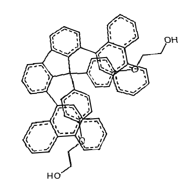 OCCOc1ccc(C2(c3ccc(OCCO)cc3)c3c(cccc3-c3cc4ccccc4c4ccccc34)-c3cccc(-c4cc5ccccc5c5ccccc45)c32)cc1